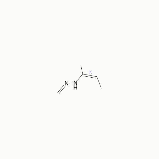 C=NN/C(C)=C\C